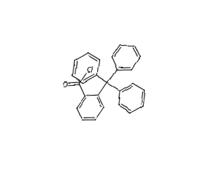 O=C(Cl)c1ccccc1C(c1ccccc1)(c1ccccc1)c1ccccc1